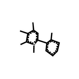 Cc1ccccc1-c1cc(C)c(C)c(C)[n+]1C